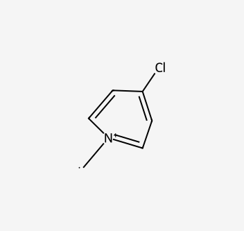 [CH2][n+]1ccc(Cl)cc1